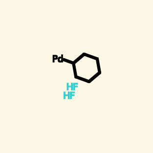 F.F.[Pd][CH]1CCCCC1